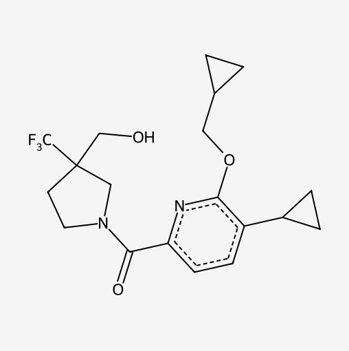 O=C(c1ccc(C2CC2)c(OCC2CC2)n1)N1CCC(CO)(C(F)(F)F)C1